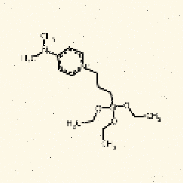 CCO[Si](CCC[n+]1ccc(N(C)C)cc1)(OCC)OCC